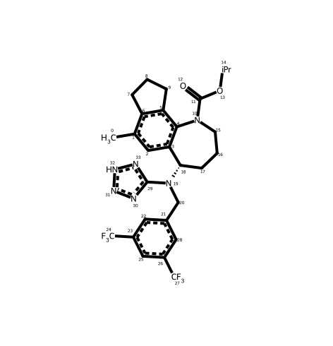 Cc1cc2c(c3c1CCC3)N(C(=O)OC(C)C)CCC[C@@H]2N(Cc1cc(C(F)(F)F)cc(C(F)(F)F)c1)c1nn[nH]n1